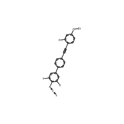 CCOc1ccc(C#Cc2ccc(-c3cc(F)c(N=C=S)c(F)c3)cc2)c(F)c1